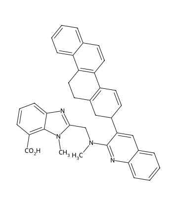 CN(Cc1nc2cccc(C(=O)O)c2n1C)c1nc2ccccc2cc1C1C=CC2=C(CCc3c2ccc2ccccc32)C1